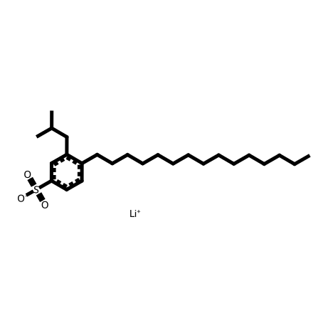 CCCCCCCCCCCCCCCc1ccc(S(=O)(=O)[O-])cc1CC(C)C.[Li+]